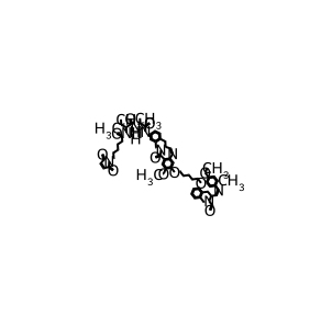 COc1cc2c(cc1OCCCCCOc1cc(/N=C\C3Cc4ccccc4CN3C=O)c(C)cc1OC)N=CC1Cc3ccc(NC(=O)C(C)NC(=O)C(NC(=O)CCCCCN4C(=O)C=CC4=O)C(C)C)cc3CN1C2=O